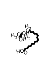 CC(C)(CO)CO.CCCCC/C=C\C/C=C\CCCCCCCC(=O)O